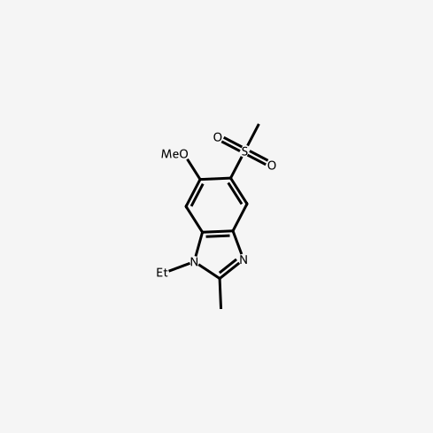 CCn1c(C)nc2cc(S(C)(=O)=O)c(OC)cc21